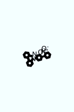 O=[N+]([O-])c1ccccc1-c1ccc2c(c1)nc1c3ccccc3c3ccccc3n21